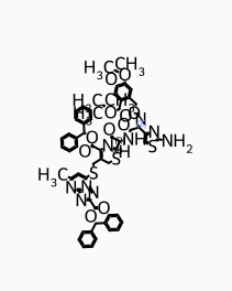 Cc1cc(SCC2=C(C(=O)OC(c3ccccc3)c3ccccc3)N3C(=O)[C@@H](NC(=O)/C(=N\OCc4cc5c(cc4C(=O)OC(C)(C)C)OC(C)(C)O5)c4csc(N)n4)[C@H]3SC2)n2nc(C(=O)OC(c3ccccc3)c3ccccc3)nc2n1